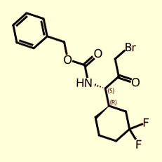 O=C(N[C@H](C(=O)CBr)[C@@H]1CCCC(F)(F)C1)OCc1ccccc1